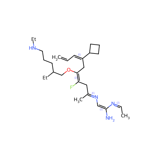 C=C/C=C(\C/C(OCC(CC)CCCNCC)=C(/F)C/C(C)=N/C=C(N)\N=C/C)C1CCC1